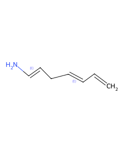 C=C/C=C/C/C=C/N